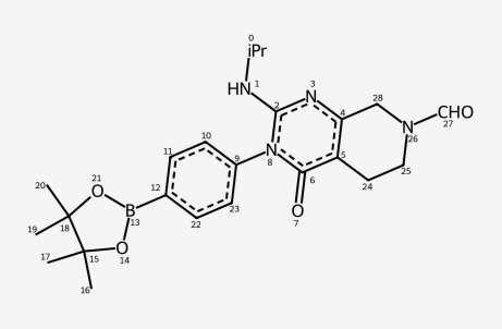 CC(C)Nc1nc2c(c(=O)n1-c1ccc(B3OC(C)(C)C(C)(C)O3)cc1)CCN(C=O)C2